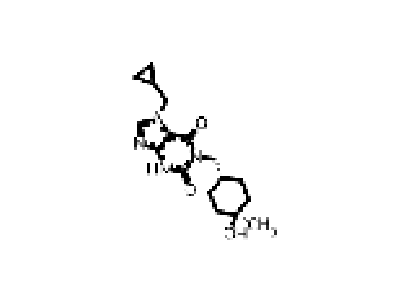 C[C@]1(O)CC[C@H](Cn2c(=O)[nH]c3ncn(CC4CC4)c3c2=O)CC1